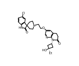 CC[C@]1(O)C[C@H](N2C(=O)CCc3cc(OCCN4CCC5(CC4)C(=O)Nc4ccc(Cl)cc45)cnc32)C1